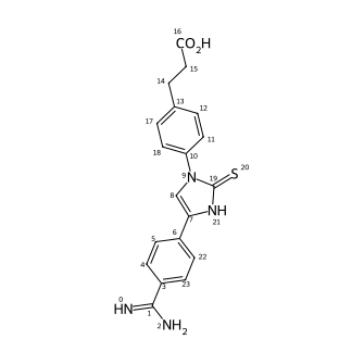 N=C(N)c1ccc(-c2cn(-c3ccc(CCC(=O)O)cc3)c(=S)[nH]2)cc1